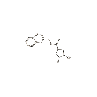 O=C(OCc1ccc2ccccc2c1)N1CC(O)C(F)C1